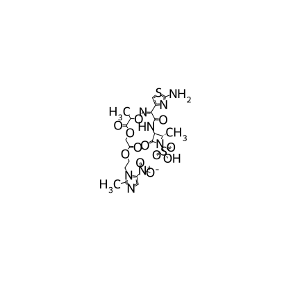 Cc1ncc([N+](=O)[O-])n1CCOC(=O)COC(=O)C(C)ON=C(C(=O)N[C@@H]1C(=O)N(S(=O)(=O)O)[C@H]1C)c1csc(N)n1